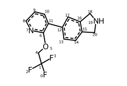 FC(F)(F)COc1ncccc1-c1ccc2c(c1)CNC2